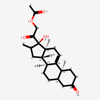 CC(=O)OCC(=O)[C@@]1(O)C(C)C[C@H]2[C@@H]3CCC4CC(=O)CC[C@]4(C)C3=CC[C@@]21C